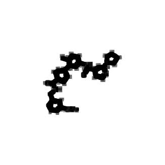 COc1cccc(CNC(=O)c2ccc(-c3cc(NC(=O)c4ccnc(N5CCCC5)c4)ccc3C)cc2)c1